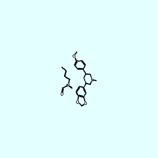 CCCCN(C)C=O.COc1ccc(C2CC(c3ccc4c(c3)OCO4)CN(C)C2)cc1